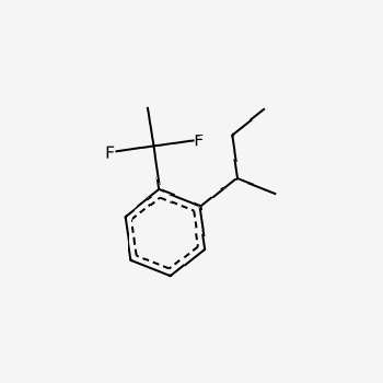 CCC(C)c1ccccc1C(C)(F)F